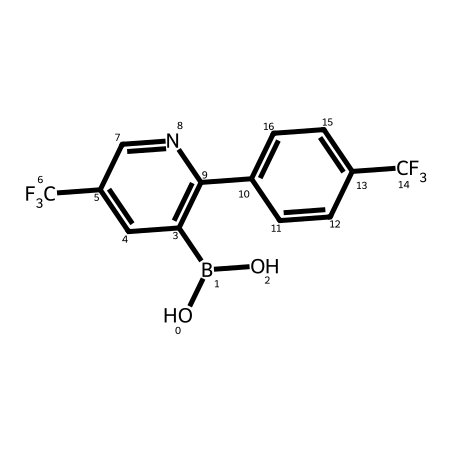 OB(O)c1cc(C(F)(F)F)cnc1-c1ccc(C(F)(F)F)cc1